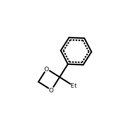 CCC1(c2ccccc2)OCO1